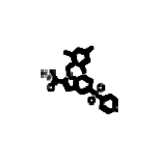 Cc1cc(C)c(Cn2c(C(N)=O)cc3cc(S(=O)(=O)c4ccncc4)ccc32)c(C)c1